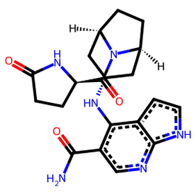 NC(=O)c1cnc2[nH]ccc2c1N[C@@H]1C[C@H]2CC[C@@H](C1)N2C(=O)[C@H]1CCC(=O)N1